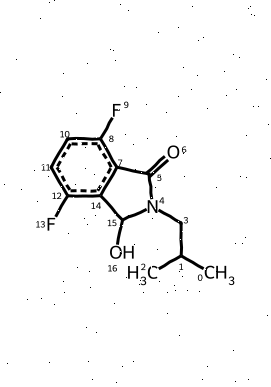 CC(C)CN1C(=O)c2c(F)ccc(F)c2C1O